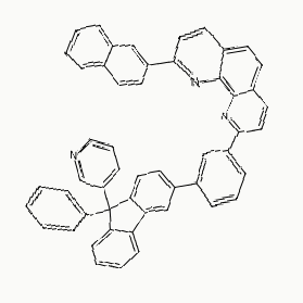 c1ccc(C2(c3cccnc3)c3ccccc3-c3cc(-c4cccc(-c5ccc6ccc7ccc(-c8ccc9ccccc9c8)nc7c6n5)c4)ccc32)cc1